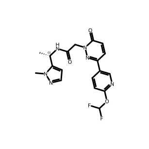 C[C@H](NC(=O)Cn1nc(-c2ccc(OC(F)F)nc2)ccc1=O)c1ccnn1C